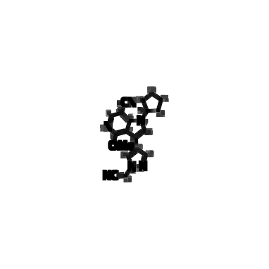 COc1ncc(C#N)c2c1c(-c1cnn(CC#N)c1)cn2C1CCCC1